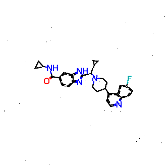 O=C(NC1CC1)c1ccc2nc([C@@H](C3CC3)N3CCC(c4ccnc5ccc(F)cc45)CC3)[nH]c2c1